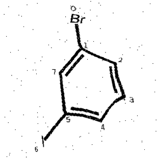 Brc1c[c]cc(I)c1